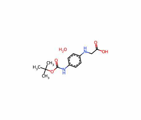 CC(C)(C)OC(=O)Nc1ccc(NCC(=O)O)cc1.O